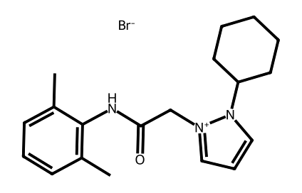 Cc1cccc(C)c1NC(=O)C[n+]1cccn1C1CCCCC1.[Br-]